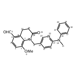 COc1ccc(C=O)c2c1N(Cc1ccc(N(C)c3ccccc3)nc1)C(=O)CC2